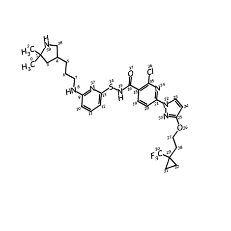 CC1(C)CC(CCCNc2cccc(SNC(=O)c3ccc(-n4ccc(OCCC5(C(F)(F)F)CC5)n4)nc3Cl)n2)CN1